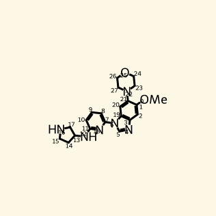 COc1cc2ncn(-c3cccc(NC4CCNC4)n3)c2cc1N1CCOCC1